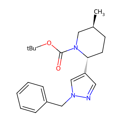 C[C@H]1CC[C@H](c2cnn(Cc3ccccc3)c2)N(C(=O)OC(C)(C)C)C1